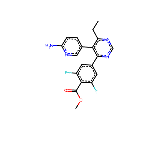 CCc1ncnc(-c2cc(F)c(C(=O)OC)c(F)c2)c1-c1ccc(N)nc1